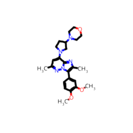 COc1ccc(-c2c(C)nc3c(N4CCC(N5CCOCC5)C4)cc(C)nn23)cc1OC